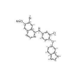 COc1cc2ncnc(Nc3ccc(Oc4ccn5ncnc5c4)c(Cl)c3)c2cc1Br